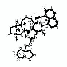 C#Cc1c(F)ccc2cccc(-c3nc4c5c(nc(OC[C@@]67CCCN6C[C@H](F)C7)nc5c3F)N3C[C@H]5CC[C@H](N5)[C@H]3CC[C@@H]4C)c12